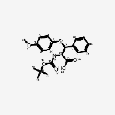 COc1ccc(SC(c2ccccc2)[C@H](NC(=O)OC(C)(C)C)C(=O)O)cc1